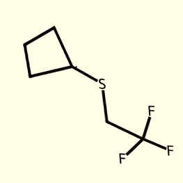 FC(F)(F)CS[C]1CCC1